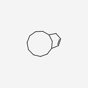 C1=CC2CCCCCCCCC(C1)C2